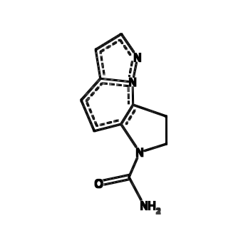 NC(=O)N1CCc2c1ccc1ccnn21